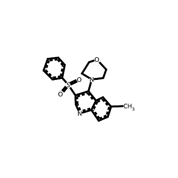 Cc1ccc2ncc(S(=O)(=O)c3ccccc3)c(N3CCOCC3)c2c1